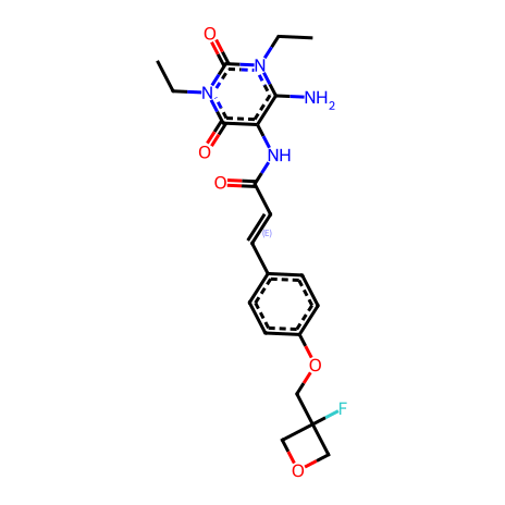 CCn1c(N)c(NC(=O)/C=C/c2ccc(OCC3(F)COC3)cc2)c(=O)n(CC)c1=O